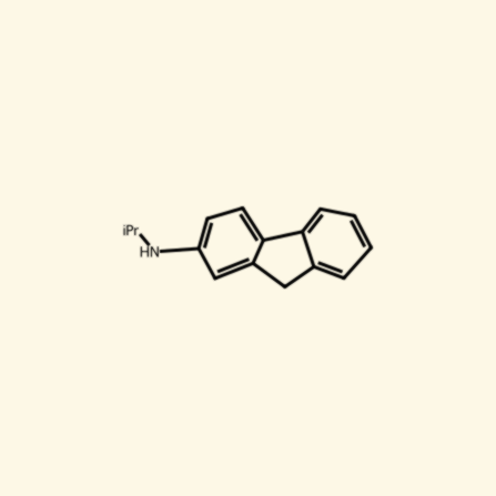 CC(C)Nc1ccc2c(c1)Cc1ccccc1-2